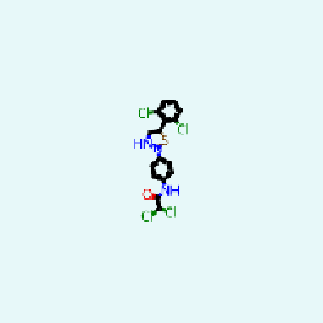 O=C(Nc1ccc(N2NCC(c3c(Cl)cccc3Cl)S2)cc1)C(Cl)Cl